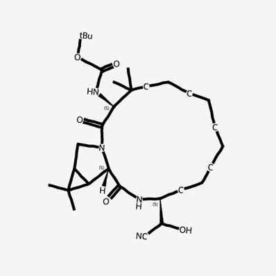 CC(C)(C)OC(=O)N[C@@H]1C(=O)N2CC3C([C@H]2C(=O)N[C@H](C(O)C#N)CCCCCCCCCC1(C)C)C3(C)C